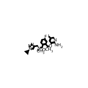 C[C@@H](Oc1cc(I)cnc1N)c1cc(F)ccc1C(=O)N(C)Cc1cn(C2CC2)nn1